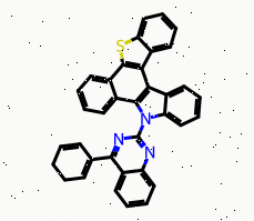 C1=CC(c2nc(-n3c4ccccc4c4c5c6ccccc6sc5c5ccccc5c43)nc3ccccc23)=CCC1